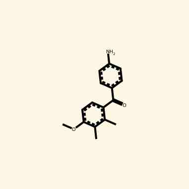 COc1ccc(C(=O)c2ccc(N)cc2)c(C)c1C